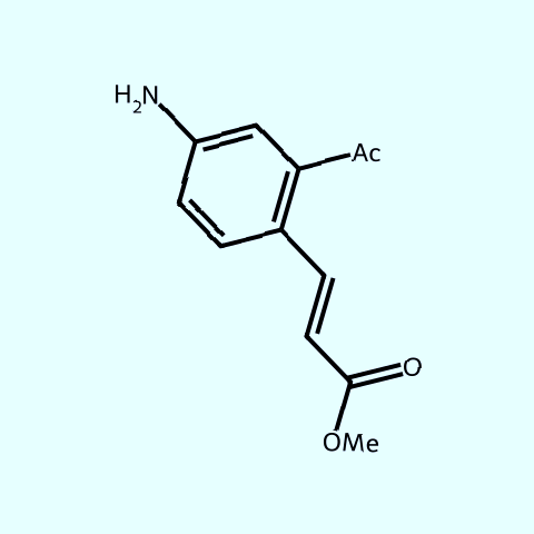 COC(=O)C=Cc1ccc(N)cc1C(C)=O